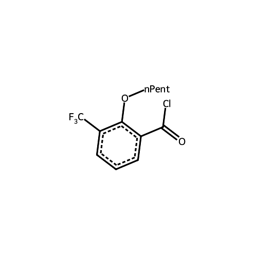 CCCCCOc1c(C(=O)Cl)cccc1C(F)(F)F